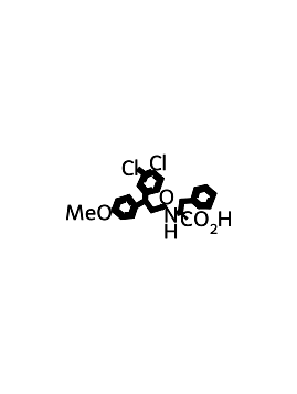 COc1ccc(C(CC(=O)N[C@@H](Cc2ccccc2)C(=O)O)c2ccc(Cl)c(Cl)c2)cc1